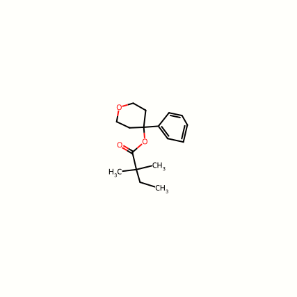 CCC(C)(C)C(=O)OC1(c2ccccc2)CCOCC1